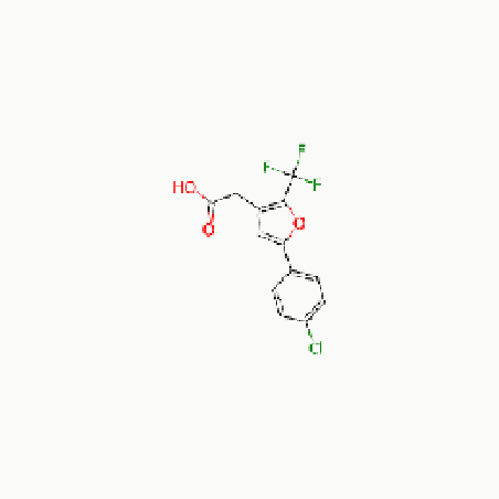 O=C(O)Cc1cc(-c2ccc(Cl)cc2)oc1C(F)(F)F